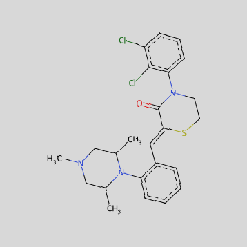 CC1CN(C)CC(C)N1c1ccccc1C=C1SCCN(c2cccc(Cl)c2Cl)C1=O